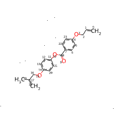 C=CCOc1ccc(C(=O)Oc2ccc(OCC(=C)C)cc2)cc1